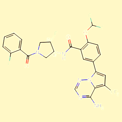 Nc1ncnn2c(-c3ccc(OC(F)F)c(C(=O)N[C@@H]4CN(C(=O)c5ccccc5F)C[C@@H]4F)c3)cc(C(F)(F)F)c12